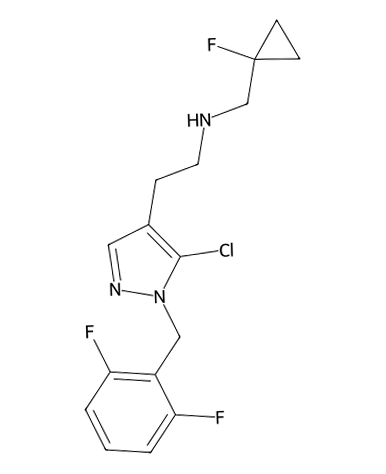 Fc1cccc(F)c1Cn1ncc(CCNCC2(F)CC2)c1Cl